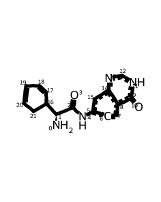 N[C@@H](C(=O)Nc1ccc2c(=O)[nH]cnc2c1)C1C=CC=CC1